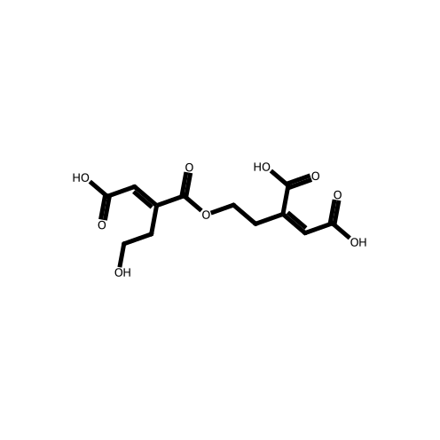 O=C(O)/C=C(/CCOC(=O)/C(=C/C(=O)O)CCO)C(=O)O